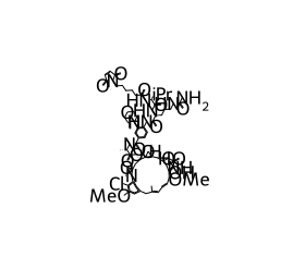 COc1cc2cc(c1Cl)N(C)C(=O)C[C@H](OC(=O)[C@H](C)N(C)C(=O)c1ccc(NC(=O)[C@H](CCCNC(N)=O)NC(=O)[C@@H](NC(=O)CCCCCN3C(=O)C=CC3=O)C(C)C)c(N3CCOCC3)c1)[C@]1(C)O[C@H]1C[C@@H]1C[C@@](O)(NC(=O)O1)[C@H](OC)/C=C/C=C(\C)C2